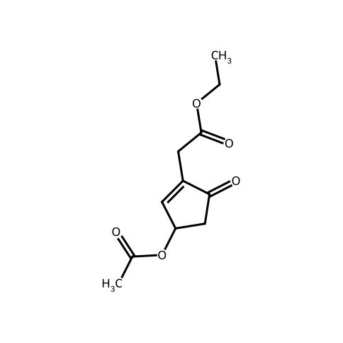 CCOC(=O)CC1=CC(OC(C)=O)CC1=O